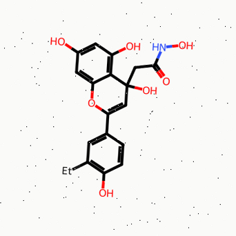 CCc1cc(C2=CC(O)(CC(=O)NO)c3c(O)cc(O)cc3O2)ccc1O